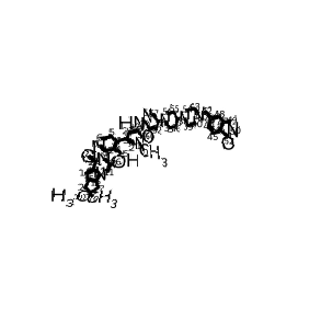 Cn1cc(-c2ccnc(N3CCn4c(cc5c4CC(C)(C)C5)C3=O)c2CO)cc(Nc2ccc(N3CCC(N4CCN(Cc5ccc6c(c5)C=NC6=O)CC4)CC3)cn2)c1=O